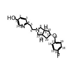 Oc1ccc(CCN2C[C@H]3C[C@H](Oc4ccc(F)cc4)C[C@H]3C2)nc1